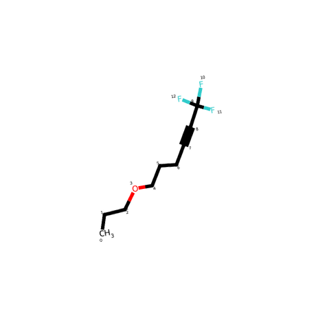 CC[CH]OCCCC#CC(F)(F)F